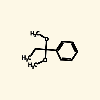 CCC(OC)(OC)c1ccccc1